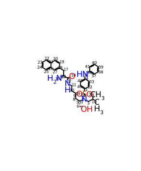 CC(C)CN([C@H](CO)CCCCNC(=O)[C@@H](N)Cc1ccc2ccccc2c1)S(=O)(=O)c1ccc(Nc2ccccc2)cc1